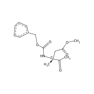 COC(=O)C[C@@](C)(NC(=O)OCc1ccccc1)C(C)=O